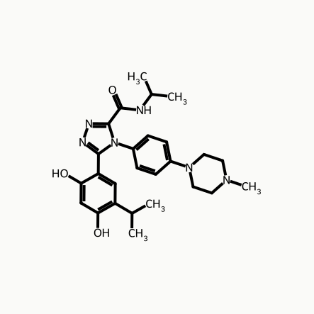 CC(C)NC(=O)c1nnc(-c2cc(C(C)C)c(O)cc2O)n1-c1ccc(N2CCN(C)CC2)cc1